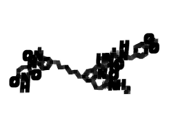 C[C@H](NC(=O)[C@@H]1Cc2cc(CCCCCCc3ccc4c(c3)n(C)c(=O)n4C3CCC(=O)NC3=O)cc3c2N1C(=O)[C@@H](N)CC3)C(=O)NCc1ccc(S(C)(=O)=O)cc1